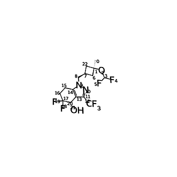 C[C@]1(OC(F)F)C[C@@H](Cn2nc(C(F)(F)F)c3c2CCC(F)(F)[C@H]3O)C1